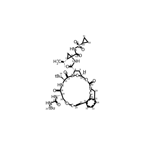 C=C[C@@H]1C[C@]1(NC(=O)[C@@H]1C[C@@H]2CN1C(=O)[C@H](C(C)(C)C)NC(=O)[C@@H](NC(=O)NC(C)(C)C)COC/C=C/c1cccc3c1CN(C3)C(=O)O2)C(=O)NS(=O)(=O)C1CC1